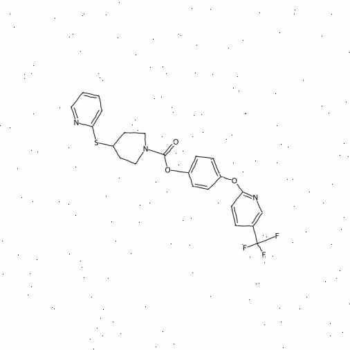 O=C(Oc1ccc(Oc2ccc(C(F)(F)F)cn2)cc1)N1CCC(Sc2ccccn2)CC1